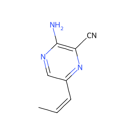 C/C=C\c1cnc(N)c(C#N)n1